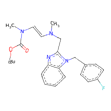 CN(/C=C/N(C)C(=O)OC(C)(C)C)Cc1nc2ccccc2n1Cc1ccc(F)cc1